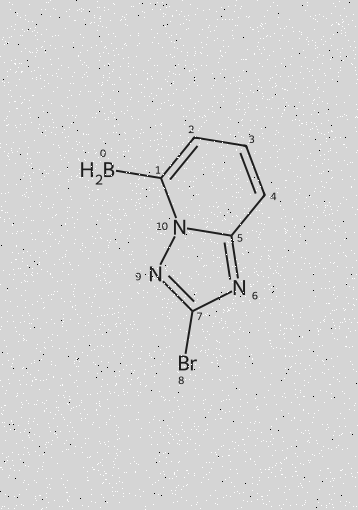 Bc1cccc2nc(Br)nn12